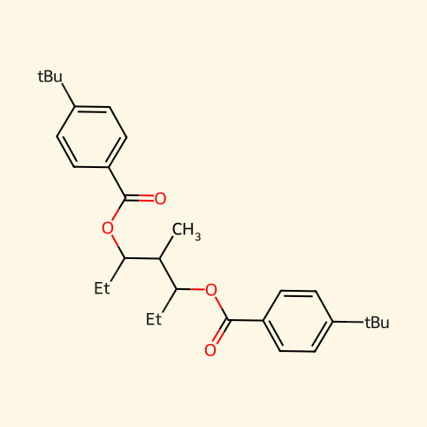 CCC(OC(=O)c1ccc(C(C)(C)C)cc1)C(C)C(CC)OC(=O)c1ccc(C(C)(C)C)cc1